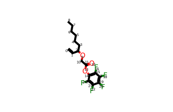 C=CC(CCCCCC)OCC(=O)Oc1c(F)c(F)c(F)c(F)c1F